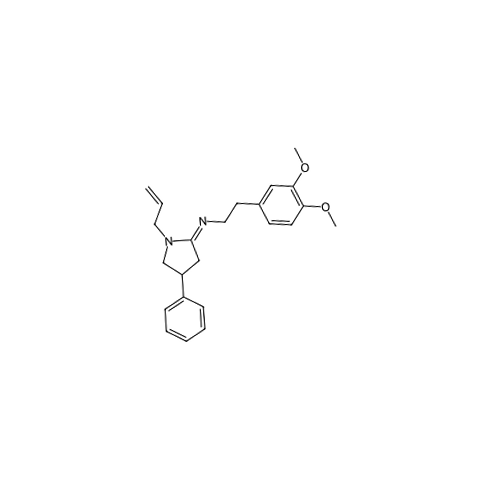 C=CCN1CC(c2ccccc2)CC1=NCCc1ccc(OC)c(OC)c1